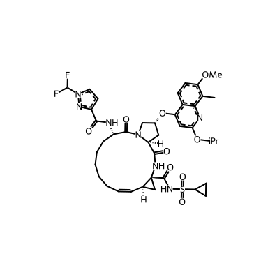 COc1ccc2c(O[C@@H]3C[C@H]4C(=O)N[C@]5(C(=O)NS(=O)(=O)C6CC6)C[C@H]5/C=C\CCCCC[C@H](NC(=O)c5ccn(C(F)F)n5)C(=O)N4C3)cc(OC(C)C)nc2c1C